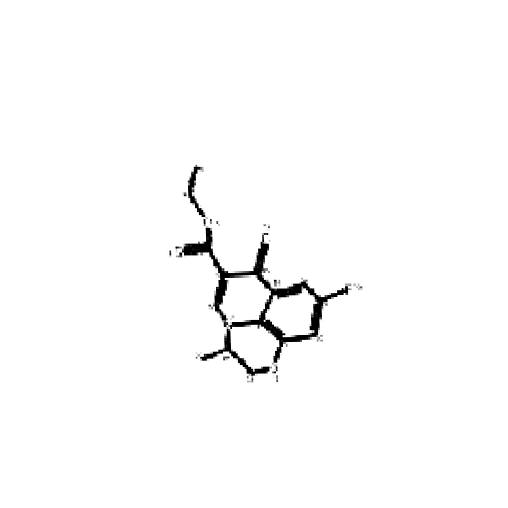 CCOC(=O)c1cn2c3c(cc(F)cc3c1=O)OCC2C